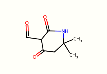 CC1(C)CC(=O)C(C=O)C(=O)N1